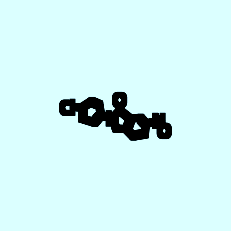 O=Nc1ccc2c(c1)C(=O)N(c1ccc(Cl)cc1)C2